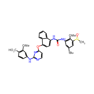 COc1cc(Nc2nccc(Oc3ccc(NC(=O)Nc4cc(C(C)(C)C)cc([S+](C)[O-])c4OC)c4ccccc34)n2)ccc1C(=O)O